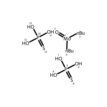 CCC[CH2][Mo](=[O])[CH2]CCC.OP(O)(O)=S.OP(O)(O)=S